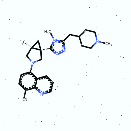 CN1CCC(Cc2nnc([C@]34CN(c5ccc(C#N)c6ncccc56)C[C@@]3(C(F)(F)F)C4)n2C)CC1